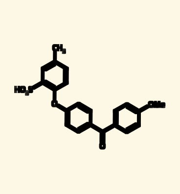 COc1ccc(C(=O)c2ccc(Oc3ccc(C)cc3S(=O)(=O)O)cc2)cc1